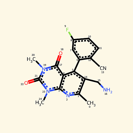 Cc1nc2c(c(-c3cc(F)ccc3C#N)c1CN)c(=O)n(C)c(=O)n2C